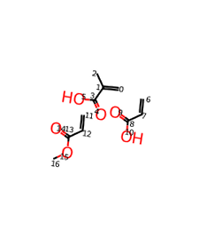 C=C(C)C(=O)O.C=CC(=O)O.C=CC(=O)OC